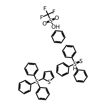 O=S(=O)(O)C(F)(F)F.S=[SH](c1ccccc1)(c1ccccc1)c1ccccc1.c1ccc(S(c2ccccc2)(c2ccccc2)c2cccs2)cc1.c1ccccc1